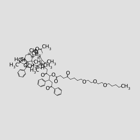 C=C(C)C[C@@]1(C)[C@H](C)C[C@H](C)[C@@]2(C)C(=O)[C@H](CC(C)=O)C3C(C)C(CC(=O)C(OC(=O)CCC(=O)CCCCOCCOCCOCCCCC)C(CC(=O)c4ccccc4)c4ccccc4)C[C@@](C)(C(CC(=O)c4ccccc4)C12C)[C@H]3C